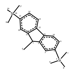 [CH2]C1c2cc([Si](C)(C)C)ccc2-c2ccc([Si](C)(C)C)cc21